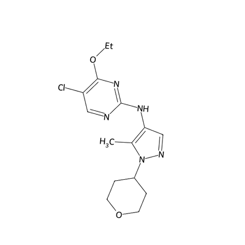 CCOc1nc(Nc2cnn(C3CCOCC3)c2C)ncc1Cl